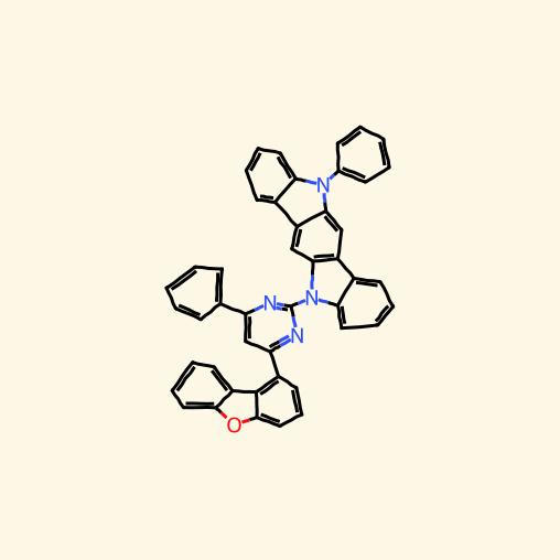 c1ccc(-c2cc(-c3cccc4oc5ccccc5c34)nc(-n3c4ccccc4c4cc5c(cc43)c3ccccc3n5-c3ccccc3)n2)cc1